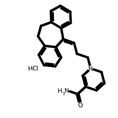 Cl.NC(=O)C1=CN(CCC=C2c3ccccc3CCc3ccccc32)CC=C1